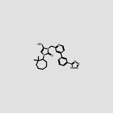 CCCCc1cn(C2CCCCCC2(C)C)c(=O)n1Cc1cc(-c2cccc(-c3nnn[nH]3)c2)ccn1